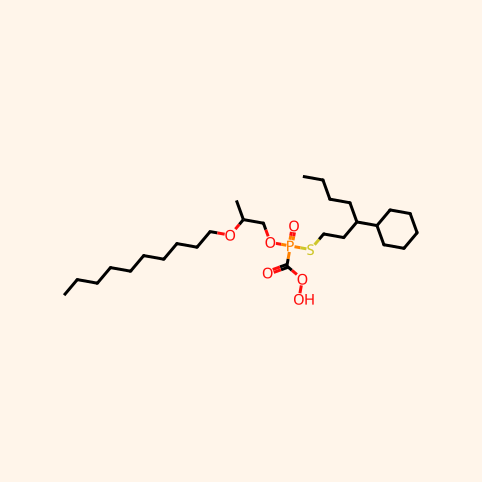 CCCCCCCCCCOC(C)COP(=O)(SCCC(CCCC)C1CCCCC1)C(=O)OO